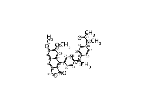 COc1cc2cc3c(c(-c4ccc(N(C)c5ccc(N(C)C(C)=O)cc5)nc4)c2cc1OC)C(=O)OC3